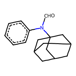 O=CN(c1ccccc1)C12CC3CC(CC(C3)C1)C2